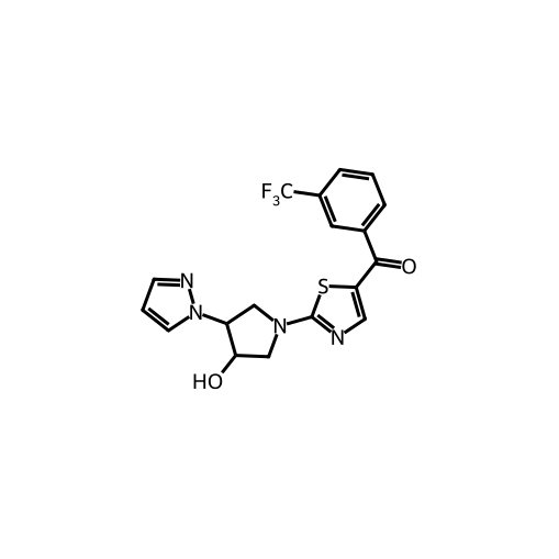 O=C(c1cccc(C(F)(F)F)c1)c1cnc(N2CC(O)C(n3cccn3)C2)s1